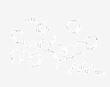 Nc1nc(C(=NOC(c2ccccc2)(c2ccccc2)c2ccccc2)C(=O)N[C@@H]2C(=O)N3C(C(=O)O)=C(Sc4nnc(N)s4)C(C(c4ccccc4)c4ccccc4)C[C@H]23)ns1